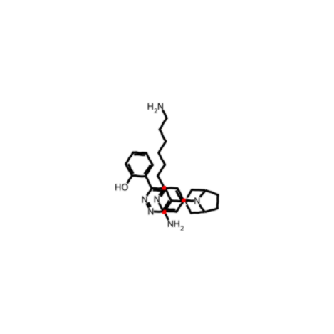 NCCCCCCc1cc(N2C3CCC2CN(c2cc(-c4ccccc4O)nnc2N)C3)ccn1